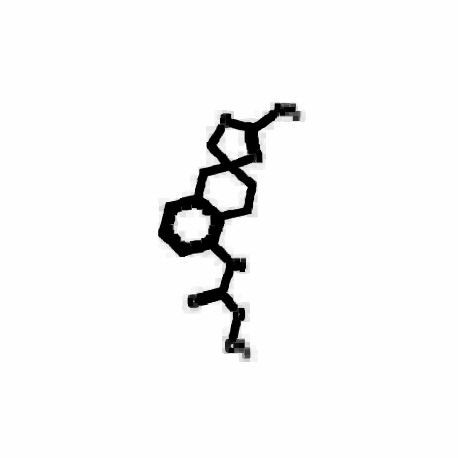 COC(=O)Nc1cccc2c1CCC1(COC(N)=N1)C2